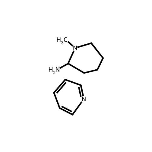 CN1CCCCC1N.c1ccncc1